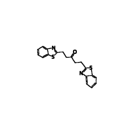 O=C(CCc1nc2ccccc2s1)CCc1nc2ccccc2s1